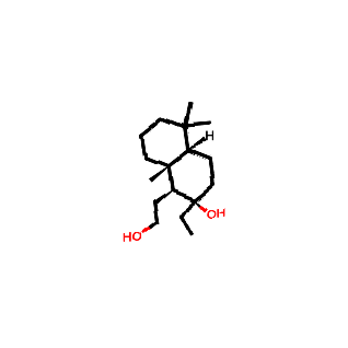 CC[C@@]1(O)CC[C@H]2C(C)(C)CCC[C@@]2(C)[C@@H]1CCO